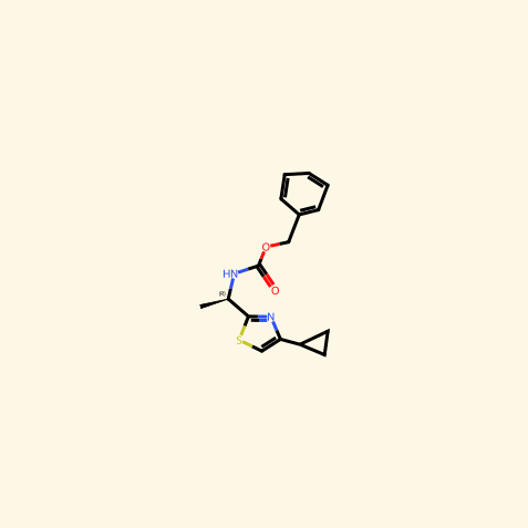 C[C@@H](NC(=O)OCc1ccccc1)c1nc(C2CC2)cs1